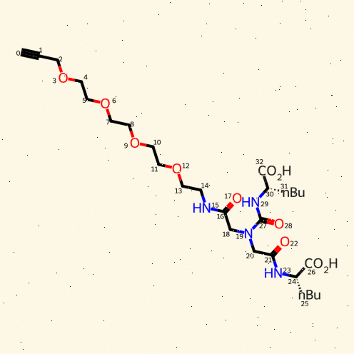 C#CCOCCOCCOCCOCCNC(=O)CN(CC(=O)N[C@@H](CCCC)C(=O)O)C(=O)N[C@@H](CCCC)C(=O)O